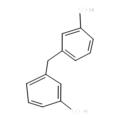 O=S(=O)(O)c1cccc(Cc2cccc(S(=O)(=O)O)c2)c1